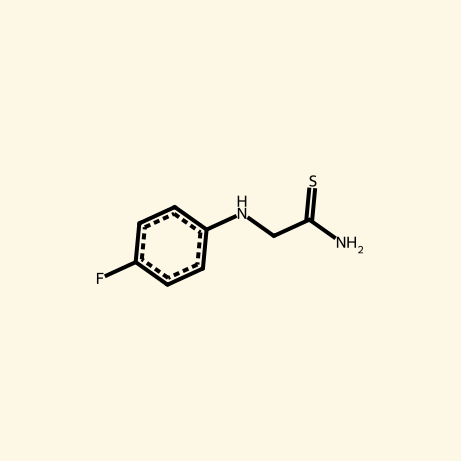 NC(=S)CNc1ccc(F)cc1